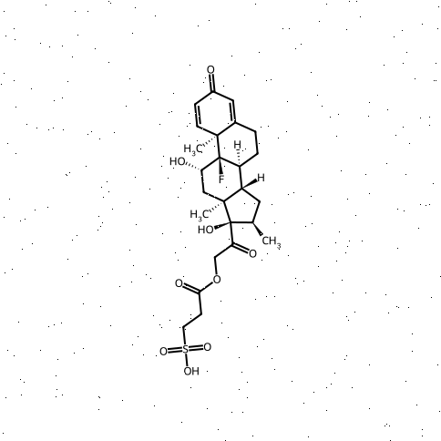 C[C@@H]1C[C@H]2[C@@H]3CCC4=CC(=O)C=C[C@]4(C)[C@@]3(F)[C@@H](O)C[C@]2(C)[C@@]1(O)C(=O)COC(=O)CCS(=O)(=O)O